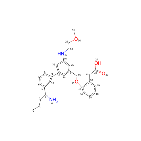 CCCC(N)c1cccc(-c2cc(COc3ccccc3CC(=O)O)cc(NCCOC)c2)c1